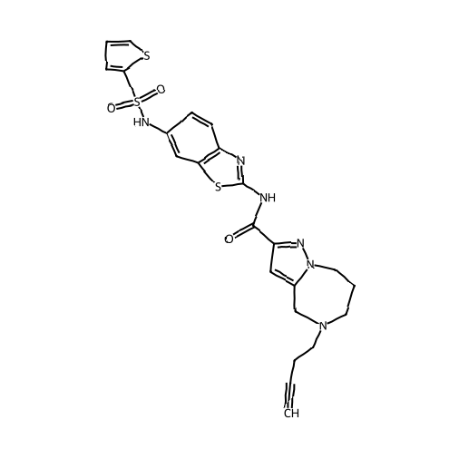 C#CCCN1CCCn2nc(C(=O)Nc3nc4ccc(NS(=O)(=O)c5cccs5)cc4s3)cc2C1